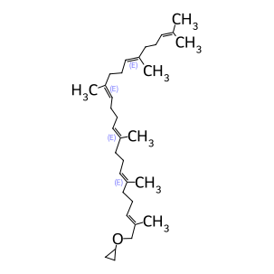 CC(C)=CCC/C(C)=C/CC/C(C)=C/CC/C=C(\C)CC/C=C(\C)CCC=C(C)COC1CC1